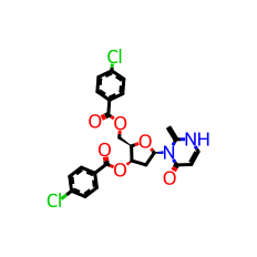 C=C1NC=CC(=O)N1[C@H]1C[C@@H](OC(=O)c2ccc(Cl)cc2)[C@@H](COC(=O)c2ccc(Cl)cc2)O1